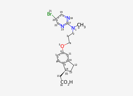 CN(CCCOc1ccc2c(c1)CC[C@H]2CC(=O)O)c1ncc(Br)cn1